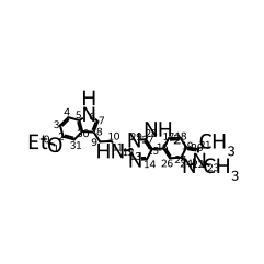 CCOc1ccc2[nH]cc(CCNc3ncc(-c4ccc5c(C)n(C)nc5c4)c(N)n3)c2c1